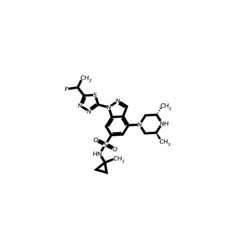 CC(F)c1nnc(-n2ncc3c(N4C[C@H](C)N[C@@H](C)C4)cc(S(=O)(=O)NC4(C)CC4)cc32)s1